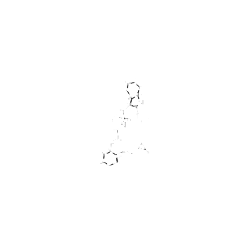 Cc1[nH]c2ccccc2c1CC(C)(C)NCCOc1ccccc1OCC1CC1